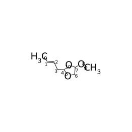 CC=CCC1OCC(OC)O1